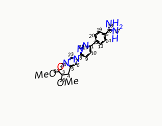 COC(=O)C(Cc1cn(-c2ccc(-c3ccc(C(=N)N)cc3)nn2)cn1)OC